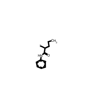 CCCC(I)C(=O)Nc1[c]cccc1